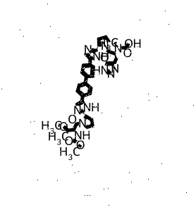 COC(=O)N[C@H](C(=O)N1CCC[C@H]1c1ncc(-c2ccc(-c3ccc(-c4cnc([C@@H]5CCCN5C(=O)[C@H](Cc5c[nH]nn5)N(C)C(=O)O)[nH]4)cc3)cc2)[nH]1)[C@@H](C)OC